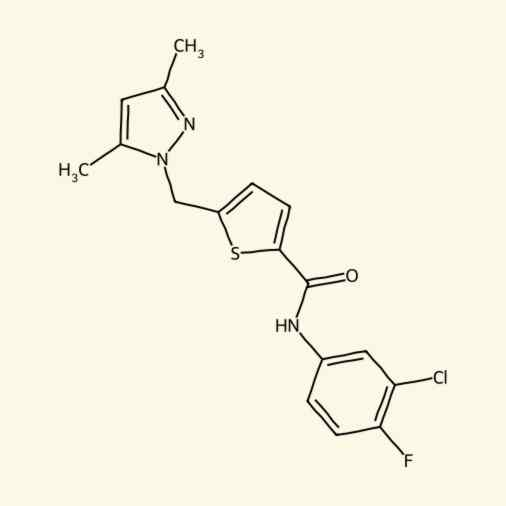 Cc1cc(C)n(Cc2ccc(C(=O)Nc3ccc(F)c(Cl)c3)s2)n1